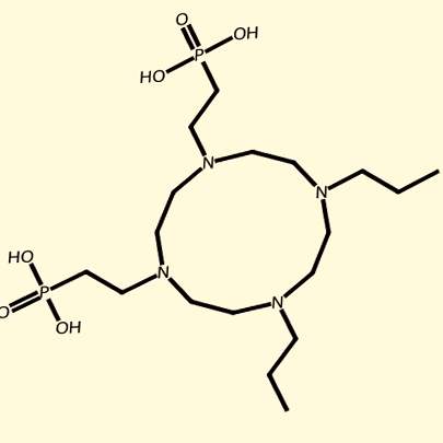 CCCN1CCN(CCC)CCN(CCP(=O)(O)O)CCN(CCP(=O)(O)O)CC1